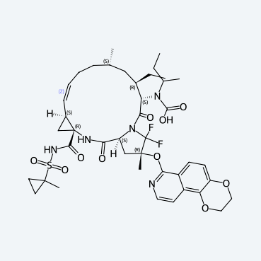 CCC(C)N(C(=O)O)[C@@H]1C(=O)N2[C@@H](C[C@@](C)(Oc3nccc4c5c(ccc34)OCCO5)C2(F)F)C(=O)N[C@]2(C(=O)NS(=O)(=O)C3(C)CC3)C[C@H]2/C=C\CC[C@H](C)C[C@H]1CC